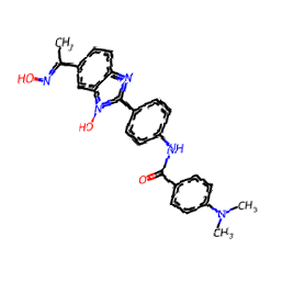 CC(=NO)c1ccc2nc(-c3ccc(NC(=O)c4ccc(N(C)C)cc4)cc3)n(O)c2c1